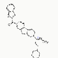 CC(=O)O/N=C(\CCC1CCCCC1)c1ccc2c(c1)Cc1cc(C(=O)c3cc4ccccc4o3)ccc1-2